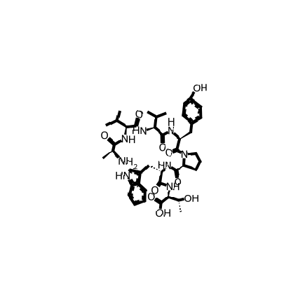 CC(C)[C@H](NC(=O)[C@H](C)N)C(=O)N[C@H](C(=O)N[C@@H](Cc1ccc(O)cc1)C(=O)N1CCC[C@H]1C(=O)N[C@@H](Cc1c[nH]c2ccccc12)C(=O)N[C@H](C(=O)O)[C@@H](C)O)C(C)C